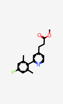 COC(=O)CCc1ccnc(-c2c(C)cc(F)cc2C)c1